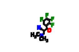 CN(C)C=C(C#N)C(=O)c1cc(F)c(F)c(F)c1F